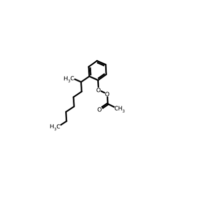 CCCCCCC(C)c1ccccc1OOC(C)=O